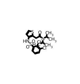 Cc1c(Cl)cccc1S(=O)(=O)Nc1ccsc1CC(=O)N(C(C)C)C(C)C